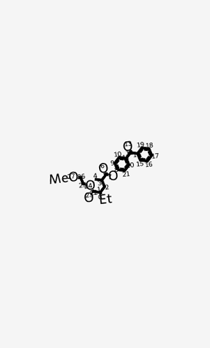 CCC(CC(C)C(=O)Oc1ccc(C(=O)c2ccccc2)cc1)C(=O)OCCOC